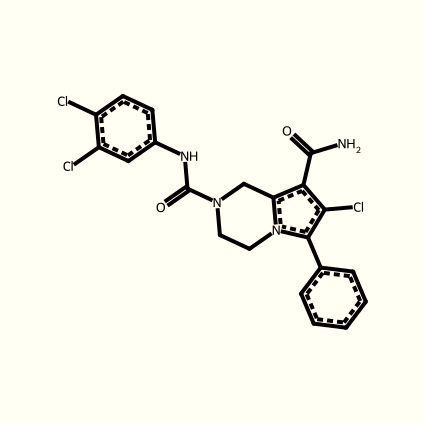 NC(=O)c1c(Cl)c(-c2ccccc2)n2c1CN(C(=O)Nc1ccc(Cl)c(Cl)c1)CC2